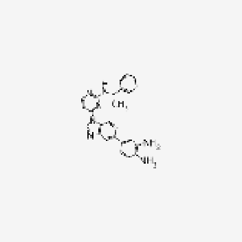 C[C@H](Nc1nccc(-n2cnc3cc(-c4ccc(N)c(N)c4)ccc32)n1)c1ccccc1